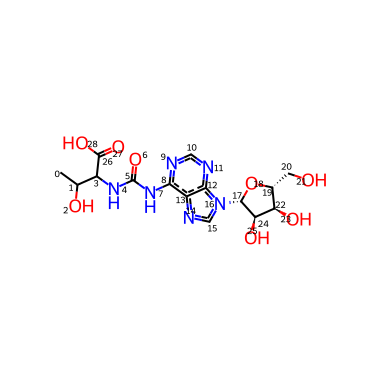 CC(O)C(NC(=O)Nc1ncnc2c1ncn2[C@@H]1O[C@H](CO)[C@@H](O)[C@H]1O)C(=O)O